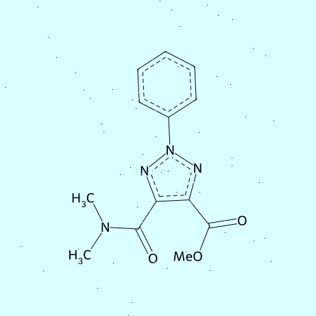 COC(=O)c1nn(-c2ccccc2)nc1C(=O)N(C)C